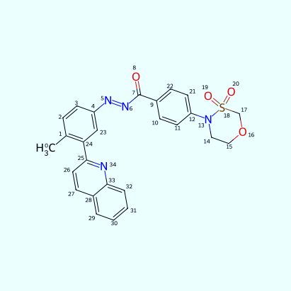 Cc1ccc(N=NC(=O)c2ccc(N3CCOCS3(=O)=O)cc2)cc1-c1ccc2ccccc2n1